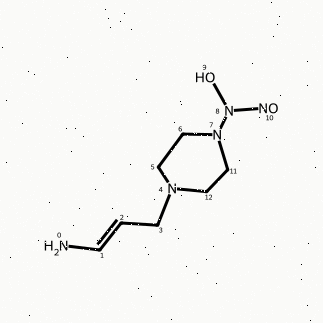 NC=CCN1CCN(N(O)N=O)CC1